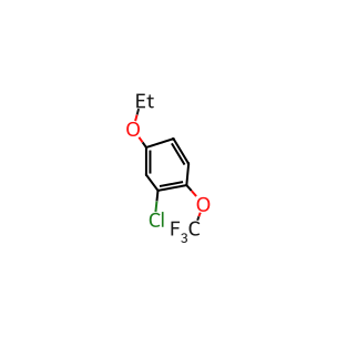 CCOc1ccc(OC(F)(F)F)c(Cl)c1